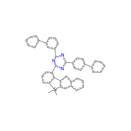 C[Si]1(C)c2cc3ccccc3cc2-c2c(-c3nc(-c4ccc(-c5ccccc5)cc4)nc(-c4cccc(-c5ccccc5)c4)n3)cccc21